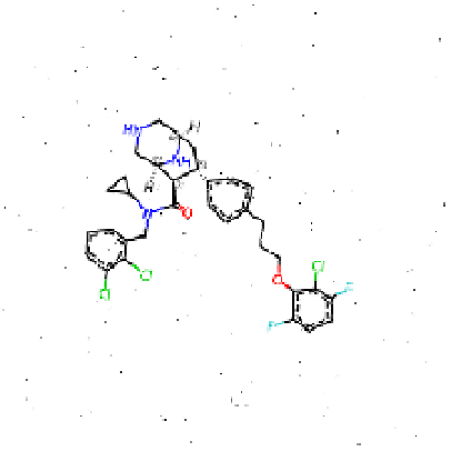 O=C([C@@H]1[C@@H](c2ccc(CCCOc3c(F)ccc(F)c3Cl)cc2)C[C@@H]2CNC[C@H]1N2)N(Cc1cccc(Cl)c1Cl)C1CC1